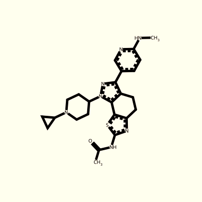 CNc1ccc(-c2nn(C3CCN(C4CC4)CC3)c3c2CCc2nc(NC(C)=O)sc2-3)cn1